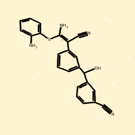 N#C/C(=C(\N)Sc1ccccc1N)c1cccc(C(O)c2cccc(C#N)c2)c1